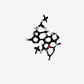 CC1CCC(N(C)c2cnnc3c(F)c(-c4ccc(F)c5sc(NC(=O)OC(C)(C)C)c(C#N)c45)c4c(c23)COC4)CN(C(=O)OC(C)(C)C)C1